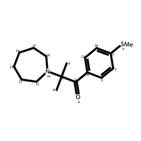 CSc1ccc(C(=O)C(C)(C)N2CCCCCC2)cc1